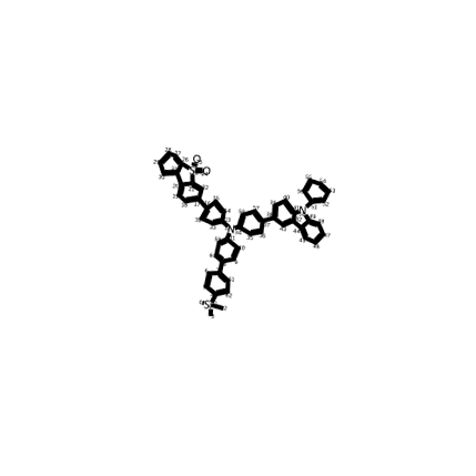 C[Si](C)(C)c1ccc(-c2ccc(N(c3ccc(-c4ccc5c(c4)S(=O)(=O)c4ccccc4-5)cc3)c3ccc(-c4ccc5c(c4)c4ccccc4n5-c4ccccc4)cc3)cc2)cc1